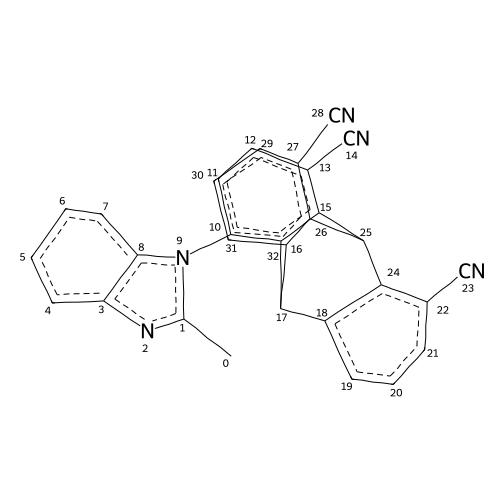 Cc1nc2ccccc2n1-c1ccc(C#N)c2c1C1c3cccc(C#N)c3C2c2c(C#N)cccc21